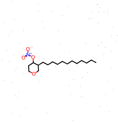 CCCCCCCCCCCCC1COCCC1O[N+](=O)[O-]